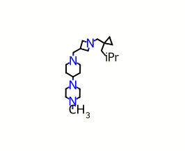 CC(C)CC1(CN2CC(CN3CCC(N4CCN(C)CC4)CC3)C2)CC1